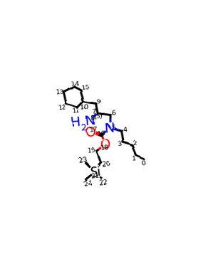 CCCCCN(C[C@@H](N)CC1CCCCC1)C(=O)OCC[Si](C)(C)C